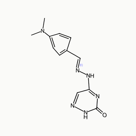 CN(C)c1ccc(/C=N/Nc2cn[nH]c(=O)n2)cc1